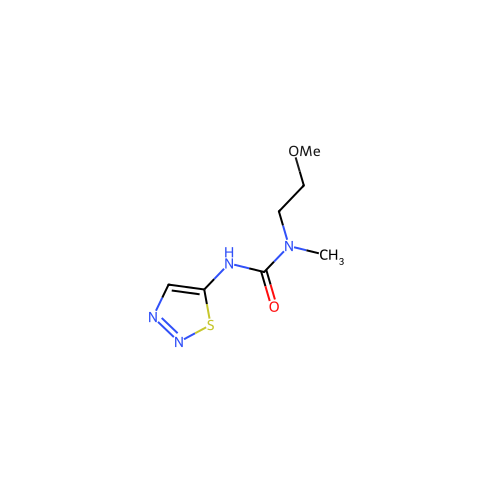 COCCN(C)C(=O)Nc1cnns1